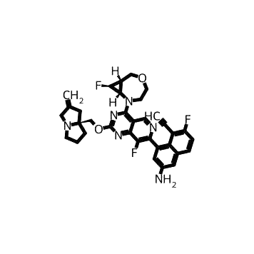 C#Cc1c(F)ccc2cc(N)cc(-c3ncc4c(N5CCOC[C@H]6[C@H](F)[C@H]65)nc(OC[C@@]56CCCN5CC(=C)C6)nc4c3F)c12